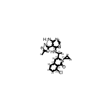 Cc1nnc(-c2c(N)ncnc2NC(C)c2cc3cccc(Cl)c3c(=O)n2C2CC2)o1